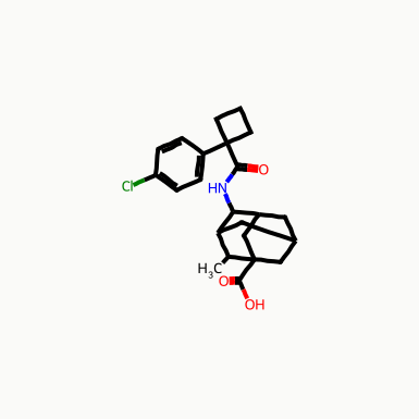 CC1C2CC3CC(CC1(C(=O)O)C3)C2NC(=O)C1(c2ccc(Cl)cc2)CCC1